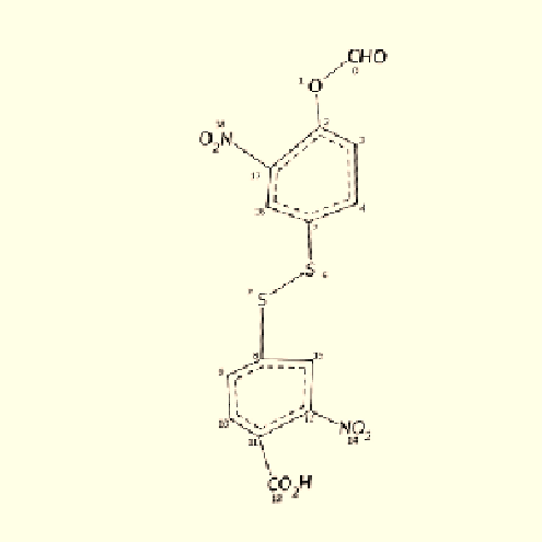 O=COc1ccc(SSc2ccc(C(=O)O)c([N+](=O)[O-])c2)cc1[N+](=O)[O-]